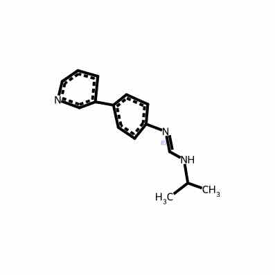 CC(C)N/C=N/c1ccc(-c2cccnc2)cc1